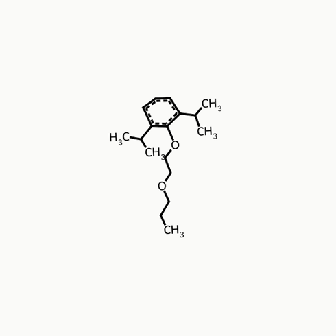 CCCOCCOc1c(C(C)C)cccc1C(C)C